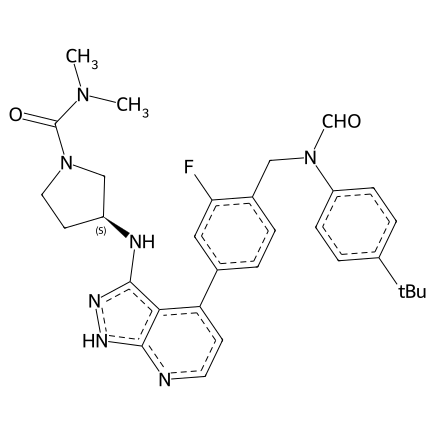 CN(C)C(=O)N1CC[C@H](Nc2n[nH]c3nccc(-c4ccc(CN(C=O)c5ccc(C(C)(C)C)cc5)c(F)c4)c23)C1